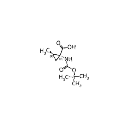 C[C@@H]1C[C@]1(NC(=O)OC(C)(C)C)C(=O)O